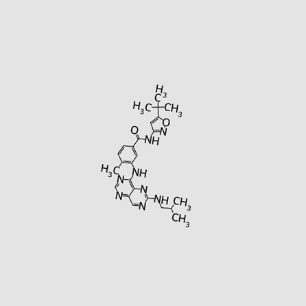 Cc1ccc(C(=O)Nc2cc(C(C)(C)C)on2)cc1Nc1ncnc2cnc(NCC(C)C)nc12